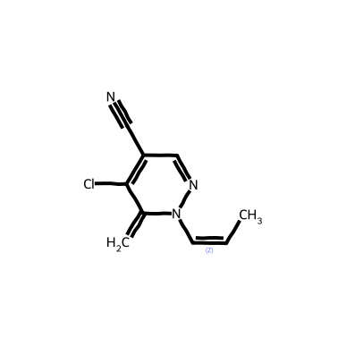 C=C1C(Cl)=C(C#N)C=NN1/C=C\C